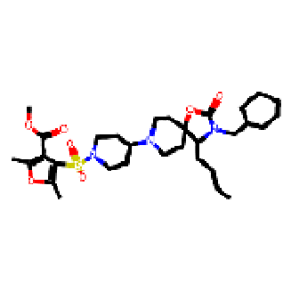 CCCCC1N(CC2CCCCC2)C(=O)OC12CCN(C1CCN(S(=O)(=O)c3c(C)oc(C)c3C(=O)OC)CC1)CC2